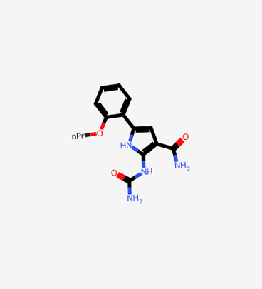 CCCOc1ccccc1-c1cc(C(N)=O)c(NC(N)=O)[nH]1